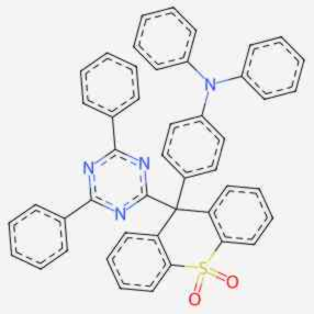 O=S1(=O)c2ccccc2C(c2ccc(N(c3ccccc3)c3ccccc3)cc2)(c2nc(-c3ccccc3)nc(-c3ccccc3)n2)c2ccccc21